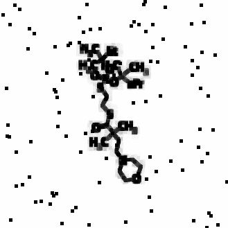 CCCC(C)(C)OP(=O)(OC(C)(C)CC)SCCSC(=O)C(C)(C)CCN1CCOCC1